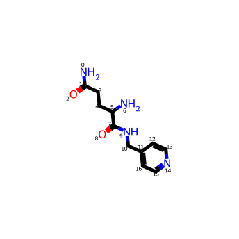 NC(=O)CCC(N)C(=O)NCc1ccncc1